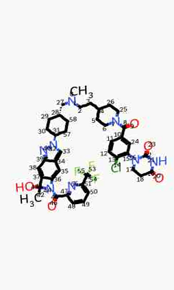 CN(CCC1CCN(C(=O)c2ccc(Cl)c(N3CCC(=O)NC3=O)c2)CC1)C[C@H]1CC[C@H](n2cc3cc4c(cc3n2)C(C)(O)N4C(=O)c2cccc(C(F)(F)F)n2)CC1